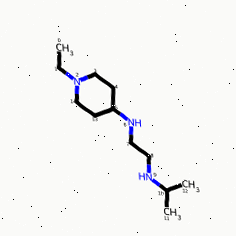 CCN1CCC(NCCNC(C)C)CC1